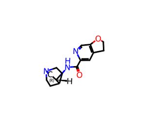 O=C(N[C@H]1CN2CCC1CC2)c1cc2c(cn1)OCC2